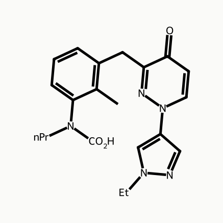 CCCN(C(=O)O)c1cccc(Cc2nn(-c3cnn(CC)c3)ccc2=O)c1C